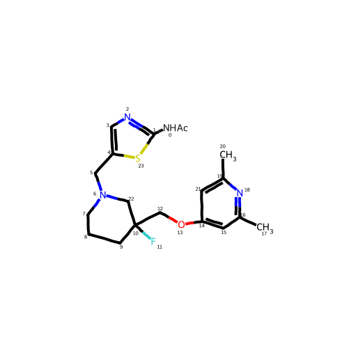 CC(=O)Nc1ncc(CN2CCCC(F)(COc3cc(C)nc(C)c3)C2)s1